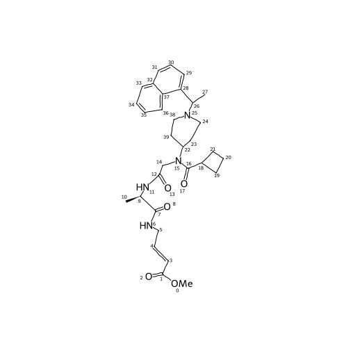 COC(=O)/C=C/CNC(=O)[C@@H](C)NC(=O)CN(C(=O)C1CCC1)C1CCN(C(C)c2cccc3ccccc23)CC1